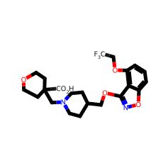 O=C(O)C1(CN2CCC(COc3noc4cccc(OCC(F)(F)F)c34)CC2)CCOCC1